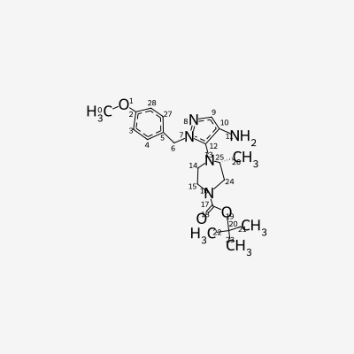 COc1ccc(Cn2ncc(N)c2N2CCN(C(=O)OC(C)(C)C)C[C@H]2C)cc1